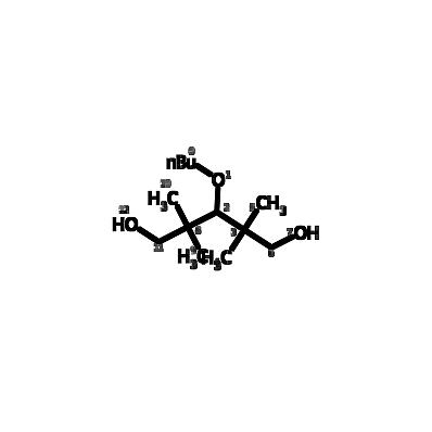 CCCCOC(C(C)(C)CO)C(C)(C)CO